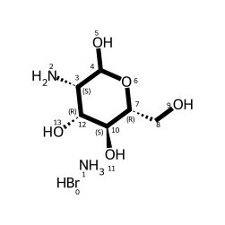 Br.N.N[C@@H]1C(O)O[C@H](CO)[C@@H](O)[C@@H]1O